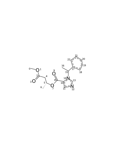 COC(=O)C[C@@H](C)OC(=O)c1cncn1C(C)c1ccccc1